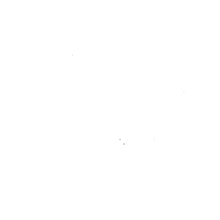 CC1Cc2ccc(cc2)OCCCC(C=O)CC(=O)N1